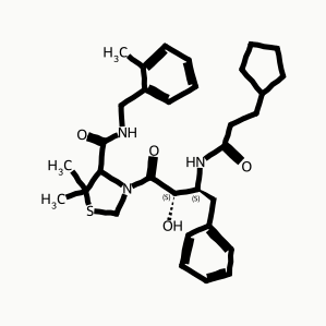 Cc1ccccc1CNC(=O)C1N(C(=O)[C@@H](O)[C@H](Cc2ccccc2)NC(=O)CCC2CCCC2)CSC1(C)C